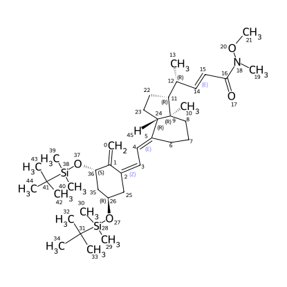 C=C1/C(=C\C=C2/CCC[C@]3(C)[C@@H]([C@H](C)/C=C/C(=O)N(C)OC)CC[C@@H]23)C[C@@H](O[Si](C)(C)C(C)(C)C)C[C@@H]1O[Si](C)(C)C(C)(C)C